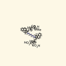 COC(=O)CC(NC(=O)CC[N+]1=C(/C=C/C=C/C=C/C=C2/N(CCC(=O)NC(CC(=O)O)C(=O)O)c3ccc4ccccc4c3C2(C)C)C(C)(C)c2c1ccc1ccccc21)C(=O)O